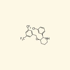 FC(F)(F)c1cc(CO[C@@H]2CCCN[C@@H]2c2cccc(Cl)c2)cc(C(F)(F)F)c1